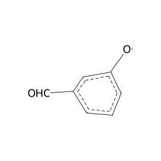 [O]c1cccc(C=O)c1